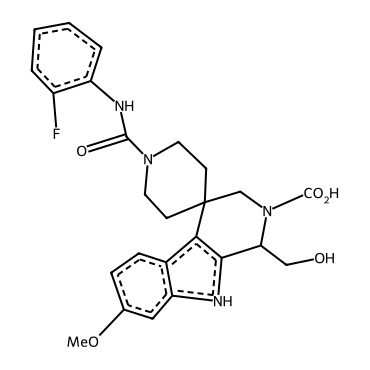 COc1ccc2c3c([nH]c2c1)C(CO)N(C(=O)O)CC31CCN(C(=O)Nc2ccccc2F)CC1